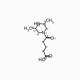 CC1CN(C(=O)CCCC(=O)O)CC(C)N1